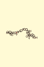 C=CCn1c(=O)c2cnc(Nc3ccc4c(c3)CN(C3CCN(C5CN(c6cc7c(cc6F)C(=O)N(C6CCC(=O)NC6=O)C7)C5)CC3)CC4)nc2n1-c1ccc2c(n1)[C@@](O)(CC)CC2